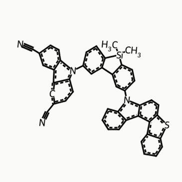 C[Si]1(C)c2ccc(-n3c4ccc(C#N)cc4c4cc(C#N)ccc43)cc2-c2cc(-n3c4ccccc4c4c5c(ccc43)sc3ccccc35)ccc21